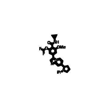 COc1cc(-c2cnc3cc(C4CCCN4C(C)C)ccn23)cc(OC(F)F)c1C(=O)NC1CC1